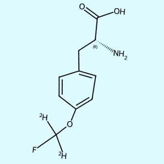 [2H]C([2H])(F)Oc1ccc(C[C@@H](N)C(=O)O)cc1